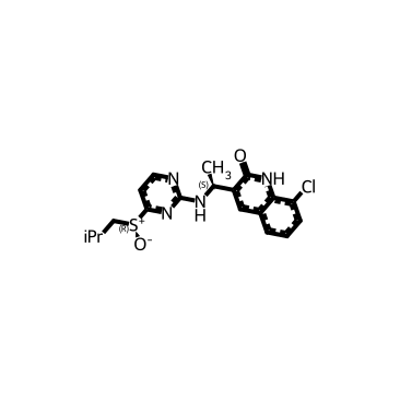 CC(C)C[S@+]([O-])c1ccnc(N[C@@H](C)c2cc3cccc(Cl)c3[nH]c2=O)n1